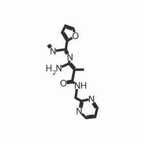 C=N/C(=N\C(N)=C(/C)C(=O)NCc1ncccn1)c1ccco1